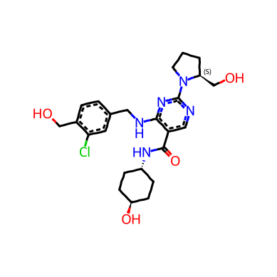 O=C(N[C@H]1CC[C@H](O)CC1)c1cnc(N2CCC[C@H]2CO)nc1NCc1ccc(CO)c(Cl)c1